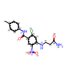 Cc1ccc(NC(=O)c2cc([N+](=O)[O-])c(NCCC(N)=O)cc2Cl)cc1